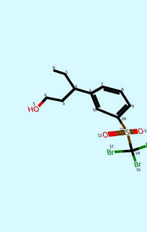 CCC(CCO)c1cccc(S(=O)(=O)C(Br)(Br)Br)c1